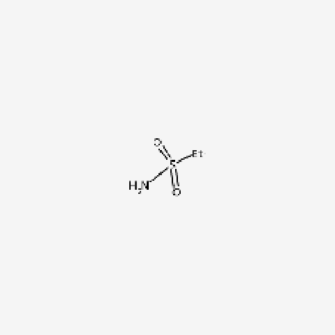 C[CH]S(N)(=O)=O